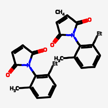 C.CCc1cccc(C)c1N1C(=O)C=CC1=O.CCc1cccc(C)c1N1C(=O)C=CC1=O